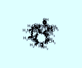 CC1(C)S[C@@H]2[C@H](NC(=O)[C@H](N)c3ccc(O)cc3)C(=O)N2[C@H]1C(=O)O.CCC(C)CCCC(=O)N[C@@H](CCN)C(=O)N[C@H](C(=O)N[C@@H](CCN)C(=O)N[C@H]1CCNC(=O)[C@H]([C@@H](C)O)NC(=O)[C@H](CCN)NC(=O)[C@H](CCN)NC(=O)[C@H](CC(C)C)NC(=O)[C@@H](CC(C)C)NC(=O)[C@H](CCN)NC1=O)[C@@H](C)O